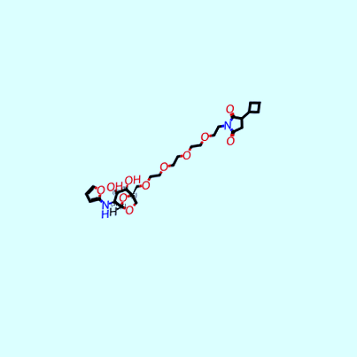 O=C1CC(C2CCC2)C(=O)N1CCOCCOCCOCCOC[C@@]12CO[C@@H](O1)[C@@H](Nc1ccco1)[C@@H](O)[C@H]2O